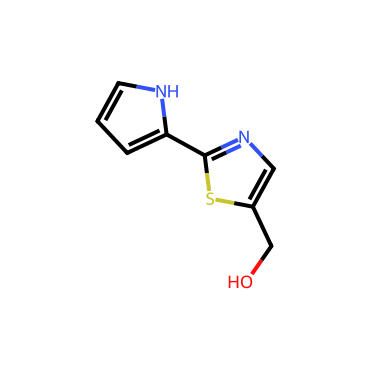 OCc1cnc(-c2ccc[nH]2)s1